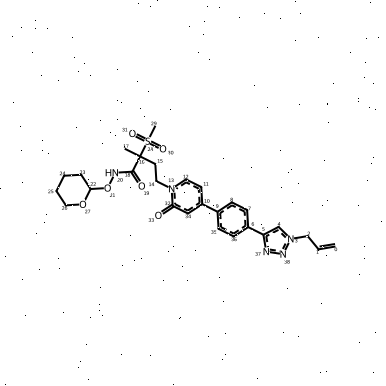 C=CCn1cc(-c2ccc(-c3ccn(CCC(C)(C(=O)NOC4CCCCO4)S(C)(=O)=O)c(=O)c3)cc2)nn1